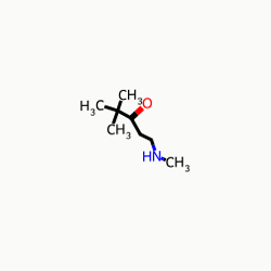 CNCCC(=O)C(C)(C)C